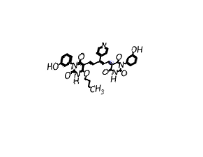 CCCCOc1[nH]c(=O)n(-c2cccc(O)c2)c(=O)c1C=CC(=C/C=C1\C(=O)NC(=O)N(c2cccc(O)c2)C1=O)c1ccncc1